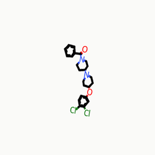 O=C(c1ccccc1)N1CCC(N2CCC(Oc3ccc(Cl)c(Cl)c3)CC2)CC1